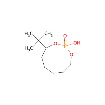 CC(C)(C)C1CCCCCOP(=O)(O)O1